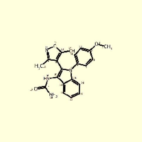 COc1ccc(-n2c(-c3c(C)noc3C)c(NC(N)=O)c3ccccc32)cc1